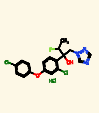 CC(F)C(O)(Cn1cncn1)c1ccc(Oc2ccc(Cl)cc2)cc1Cl.Cl